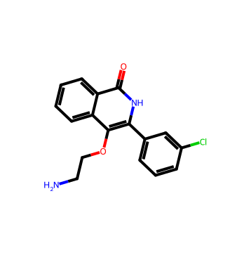 NCCOc1c(-c2cccc(Cl)c2)[nH]c(=O)c2ccccc12